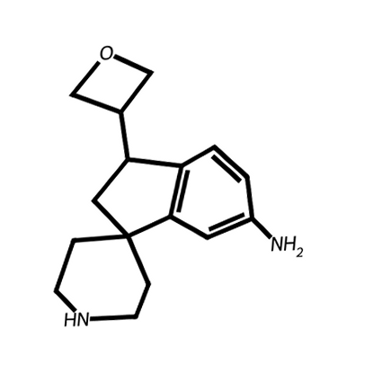 Nc1ccc2c(c1)C1(CCNCC1)CC2C1COC1